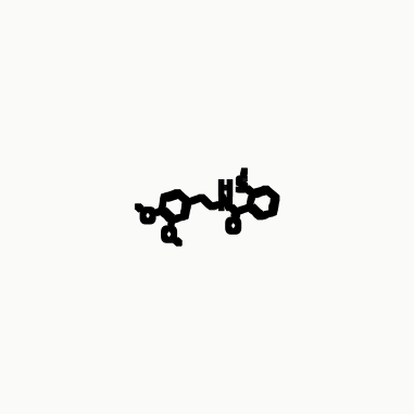 COc1ccc(CCNC(=O)c2ccccc2SC)cc1OC